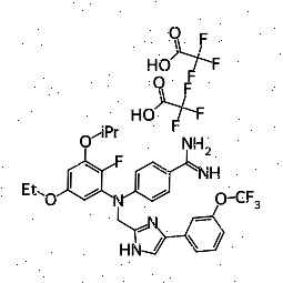 CCOc1cc(OC(C)C)c(F)c(N(Cc2nc(-c3cccc(OC(F)(F)F)c3)c[nH]2)c2ccc(C(=N)N)cc2)c1.O=C(O)C(F)(F)F.O=C(O)C(F)(F)F